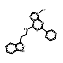 CC(C)n1cnc2c(NCCc3n[nH]c4ccccc34)nc(-c3cccnc3)nc21